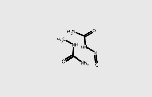 CNC(N)=O.NC(=O)NN=O